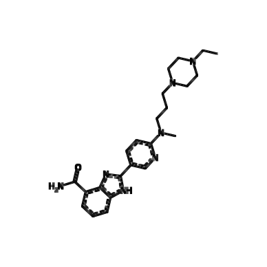 CCN1CCN(CCCN(C)c2ccc(-c3nc4c(C(N)=O)cccc4[nH]3)cn2)CC1